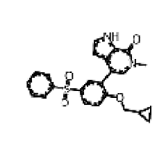 Cn1cc(-c2cc(S(=O)(=O)c3ccccc3)ccc2OCC2CC2)c2cc[nH]c2c1=O